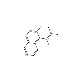 CC(C)=C(C)c1c(C)ccc2cnccc12